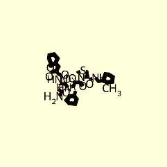 Cc1ccccc1CNC(=O)[C@@H]1CSCN1C(=O)[C@@H](O)[C@H](Cc1ccccc1)NC(=O)[C@H](CC(N)=O)NC(=O)c1cc2ccccc2oc1=O